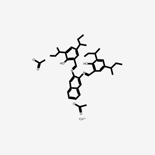 CC(=O)[O-].CC(=O)[O-].CCC(C)c1cc(C=Nc2cc3ccccc3cc2N=Cc2cc(C(C)CC)cc(C(C)CC)c2O)c(O)c(C(C)CC)c1.[Co+2]